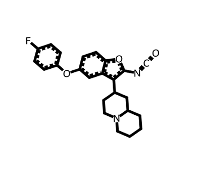 O=C=Nc1oc2ccc(Oc3ccc(F)cc3)cc2c1C1CCN2CCCCC2C1